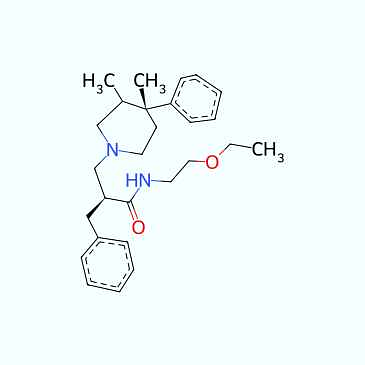 CCOCCNC(=O)[C@@H](Cc1ccccc1)CN1CC[C@@](C)(c2ccccc2)C(C)C1